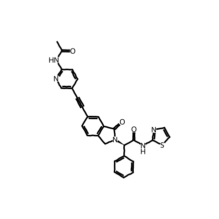 CC(=O)Nc1ccc(C#Cc2ccc3c(c2)C(=O)N([C@@H](C(=O)Nc2nccs2)c2ccccc2)C3)cn1